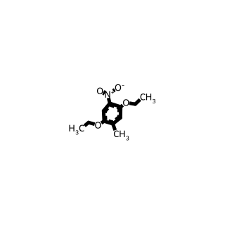 CCOc1cc([N+](=O)[O-])c(OCC)cc1C